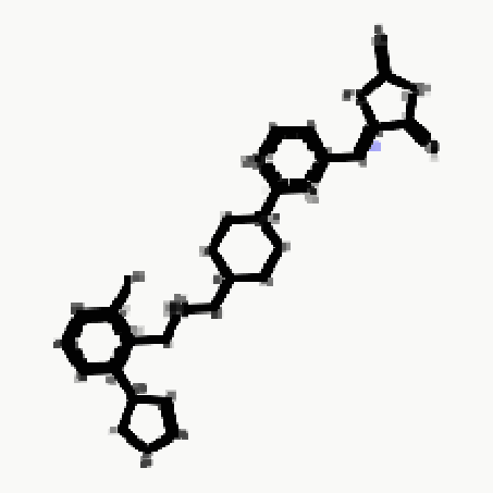 O=C1NC(=O)/C(=C/c2ccnc(N3CCC(CNCc4c(F)cccc4C4C=CSC4)CC3)n2)S1